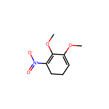 COC1=CC[CH]C([N+](=O)[O-])=C1OC